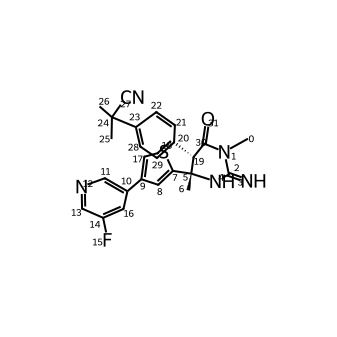 CN1C(=N)N[C@](C)(c2cc(-c3cncc(F)c3)cs2)[C@H](c2ccc(C(C)(C)C#N)cc2)C1=O